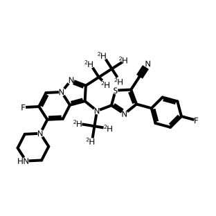 [2H]C([2H])([2H])N(c1nc(-c2ccc(F)cc2)c(C#N)s1)c1c(C([2H])([2H])C([2H])([2H])[2H])nn2cc(F)c(N3CCNCC3)cc12